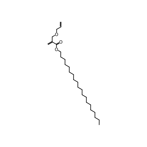 C=CCOCC(=C)C(=O)OCCCCCCCCCCCCCCCCCCCC